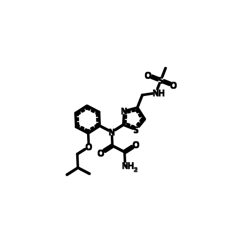 CC(C)COc1ccccc1N(C(=O)C(N)=O)c1nc(CNS(C)(=O)=O)cs1